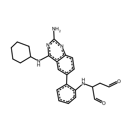 Nc1nc(NC2CCCCC2)c2cc(-c3ccccc3NC(C=O)CC=O)ccc2n1